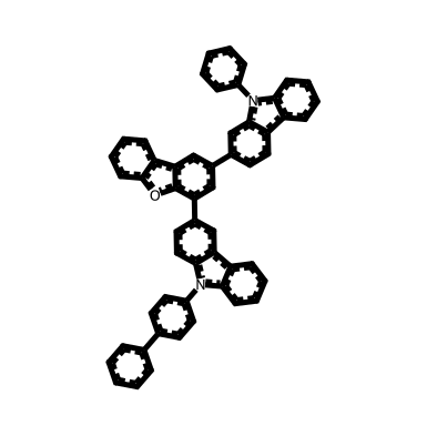 c1ccc(-c2ccc(-n3c4ccccc4c4cc(-c5cc(-c6ccc7c8ccccc8n(-c8ccccc8)c7c6)cc6c5oc5ccccc56)ccc43)cc2)cc1